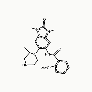 COc1ccccc1C(=O)Nc1cc2c(cc1N1CCNCC1C)n(C)c(=O)n2C